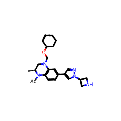 CC(=O)N1c2ccc(-c3cnn(C4CNC4)c3)cc2N(COC2CCCCC2)C[C@@H]1C